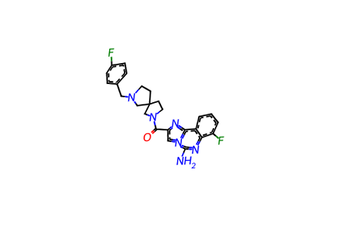 Nc1nc2c(F)cccc2c2nc(C(=O)N3CCC4(CCN(Cc5ccc(F)cc5)C4)C3)cn12